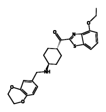 CCOc1cccc2sc(C(=O)[C@H]3CC[C@H](NCc4ccc5c(c4)OCCO5)CC3)nc12